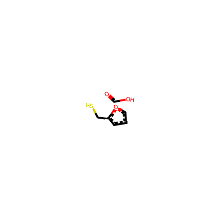 O=CO.SCc1ccco1